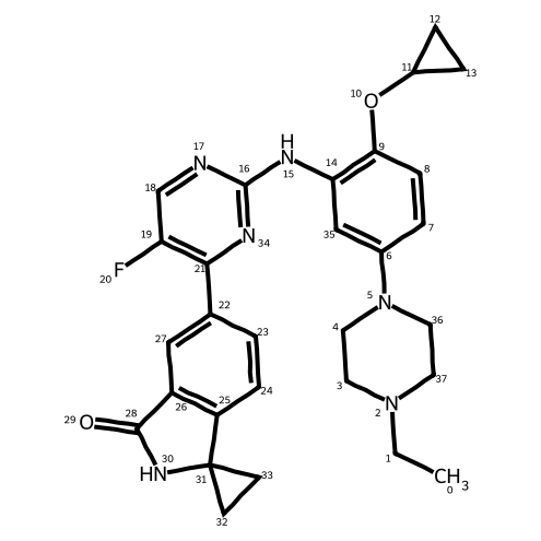 CCN1CCN(c2ccc(OC3CC3)c(Nc3ncc(F)c(-c4ccc5c(c4)C(=O)NC54CC4)n3)c2)CC1